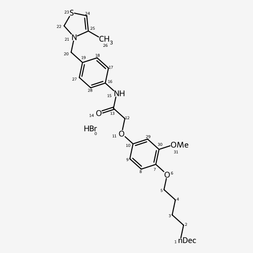 Br.CCCCCCCCCCCCCCOc1ccc(OCC(=O)Nc2ccc(CN3CSC=C3C)cc2)cc1OC